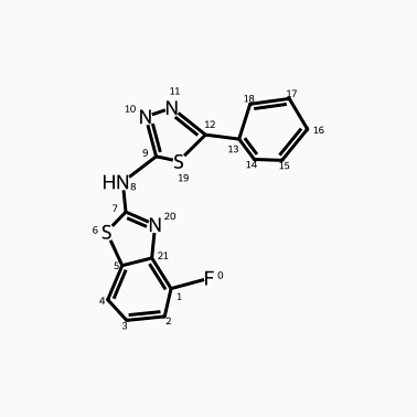 Fc1cccc2sc(Nc3nnc(-c4ccccc4)s3)nc12